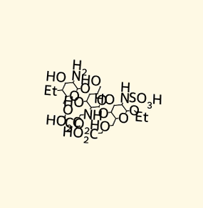 CCOC1OC(COCC(=O)O)C(OC2OC(CO)C(OC3OC(COCC(=O)O)C(CC)C(O)C3N)C(O)C2NCC(=O)O)C(O)C1NS(=O)(=O)O